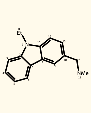 CCn1c2ccccc2c2cc(CNC)ccc21